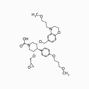 COCCCOc1ccc([C@@H]2[C@@H](OCc3ccc4c(c3)N(CCCOC)CCO4)CN(C(=O)O)C[C@H]2OC[C@H]2CO2)cc1